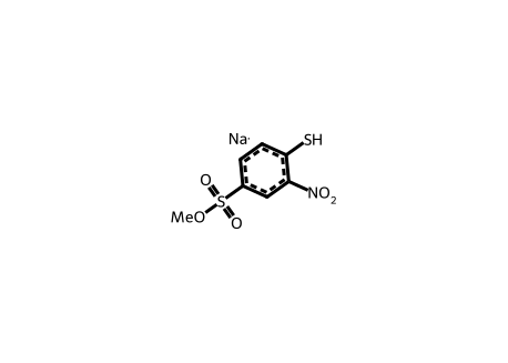 COS(=O)(=O)c1ccc(S)c([N+](=O)[O-])c1.[Na]